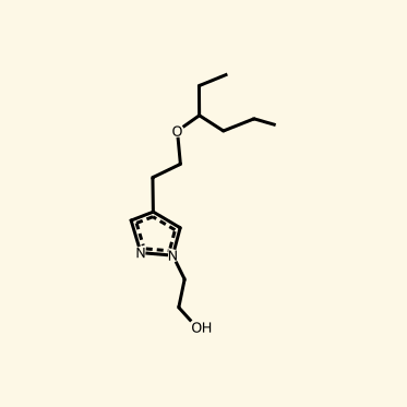 CCCC(CC)OCCc1cnn(CCO)c1